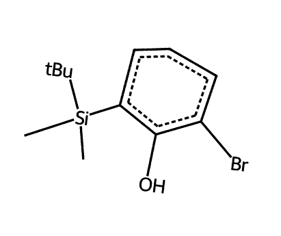 CC(C)(C)[Si](C)(C)c1cccc(Br)c1O